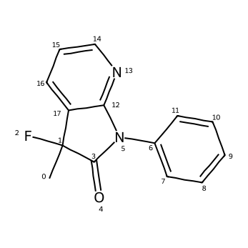 CC1(F)C(=O)N(c2ccccc2)c2ncccc21